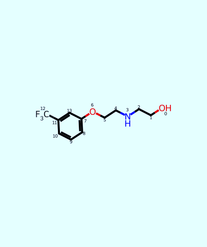 OCCNCCOc1cccc(C(F)(F)F)c1